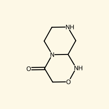 O=C1CONC2CNCCN12